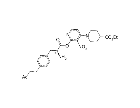 CCOC(=O)C1CCN(c2ccnc(OC(=O)[C@@H](N)Cc3ccc(CCC(C)=O)cc3)c2[N+](=O)[O-])CC1